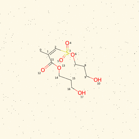 CC(=CS(=O)(=O)OCCCO)C(=O)OCCCO